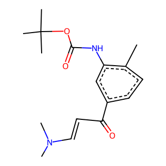 Cc1ccc(C(=O)C=CN(C)C)cc1NC(=O)OC(C)(C)C